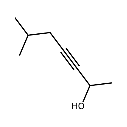 CC(O)C#CCC(C)C